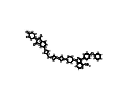 Nc1ncnc2c1c(-c1ccc(Oc3ccccc3)cc1)nn2C1CCN(C2CN(C3CN(CC4CN(c5ccc6c(c5)C(=O)N(C5CCC(=O)NC5)C6=O)C4)C3)C2)CC1